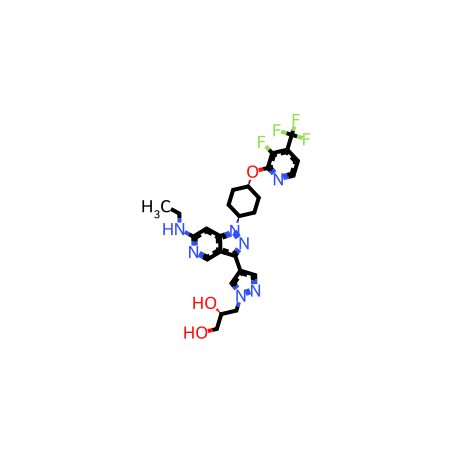 CCNc1cc2c(cn1)c(-c1cnn(C[C@@H](O)CO)c1)nn2[C@H]1CC[C@@H](Oc2nccc(C(F)(F)F)c2F)CC1